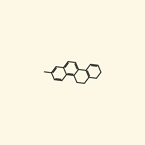 Cc1ccc2c3c(ccc2c1)C1=C(CCC=C1)CC3